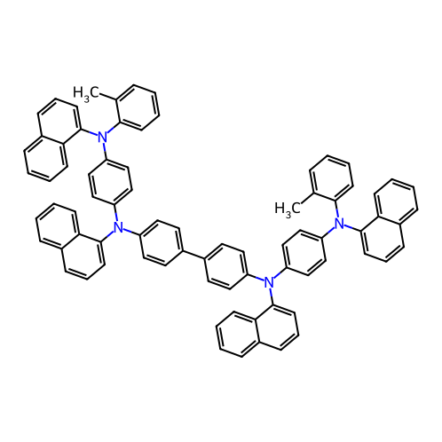 Cc1ccccc1N(c1ccc(N(c2ccc(-c3ccc(N(c4ccc(N(c5ccccc5C)c5cccc6ccccc56)cc4)c4cccc5ccccc45)cc3)cc2)c2cccc3ccccc23)cc1)c1cccc2ccccc12